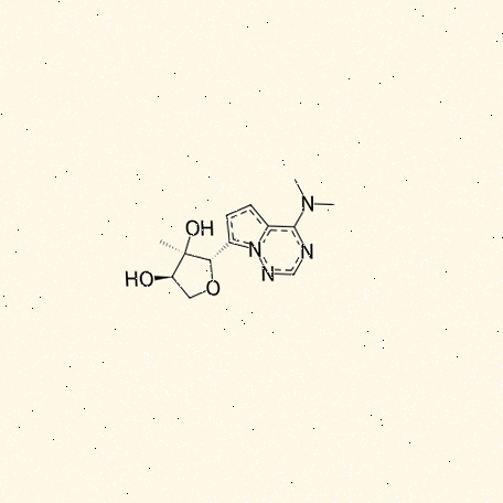 CN(C)c1ncnn2c([C@@H]3OC[C@@H](O)[C@@]3(C)O)ccc12